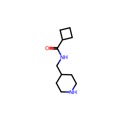 O=C(NCC1CCNCC1)C1CCC1